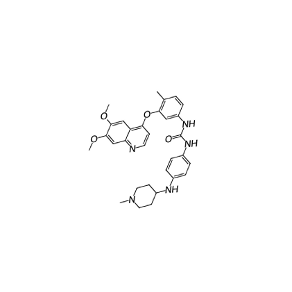 COc1cc2nccc(Oc3cc(NC(=O)Nc4ccc(NC5CCN(C)CC5)cc4)ccc3C)c2cc1OC